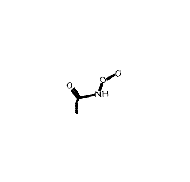 CC(=O)NOCl